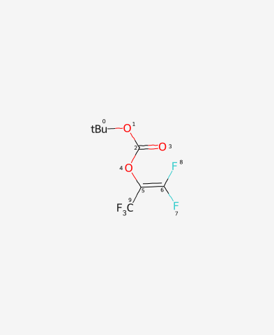 CC(C)(C)OC(=O)OC(=C(F)F)C(F)(F)F